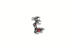 C=C1CC2CCC3(C)[C@](C)(C(=O)O[C@@H]4OC(CO)[C@@H](O)C(O)C4O[C@@H]4OC(CO)[C@@H](O)C(O)[C@@H]4O)CCC[C@@]3(C)[C@@H]2CC[C@@]1(C)COC[C@@H]1OC(C)[C@@H](O)C(COC[C@@H]2OC(CO)[C@@H](O)C(O)[C@@H]2O)[C@@H]1O[C@@H]1OC(CO)[C@@H](O)C(O)C1O